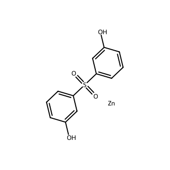 O=S(=O)(c1cccc(O)c1)c1cccc(O)c1.[Zn]